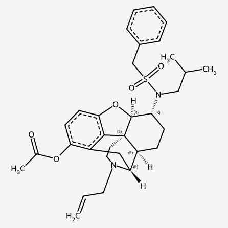 C=CCN1CC[C@@]23c4c5ccc(OC(C)=O)c4C[C@@H]1[C@@H]2CC[C@@H](N(CC(C)C)S(=O)(=O)Cc1ccccc1)[C@@H]3O5